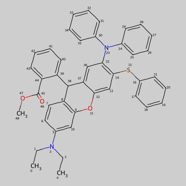 CCN(CC)c1ccc2c(c1)Oc1cc(Sc3ccccc3)c(N(c3ccccc3)c3ccccc3)cc1C2c1ccccc1C(=O)OC